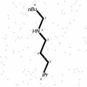 CCCCCNCCCC(C)C